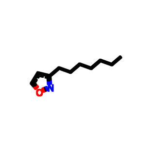 CCCCCCCc1ccon1